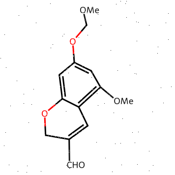 COCOc1cc(OC)c2c(c1)OCC(C=O)=C2